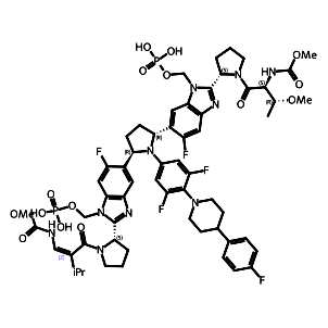 COC(=O)N/C=C(\C(=O)N1CCC[C@H]1c1nc2cc([C@H]3CC[C@H](c4cc5c(cc4F)nc([C@@H]4CCCN4C(=O)[C@@H](NC(=O)OC)[C@@H](C)OC)n5COP(=O)(O)O)N3c3cc(F)c(N4CCC(c5ccc(F)cc5)CC4)c(F)c3)c(F)cc2n1COP(=O)(O)O)C(C)C